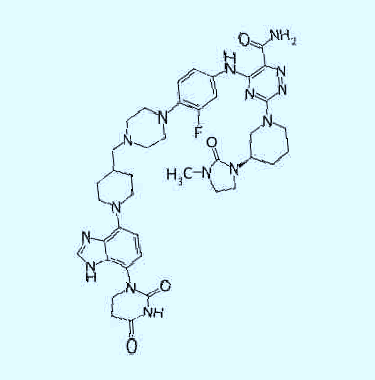 CN1CCN([C@@H]2CCCN(c3nnc(C(N)=O)c(Nc4ccc(N5CCN(CC6CCN(c7ccc(N8CCC(=O)NC8=O)c8[nH]cnc78)CC6)CC5)c(F)c4)n3)C2)C1=O